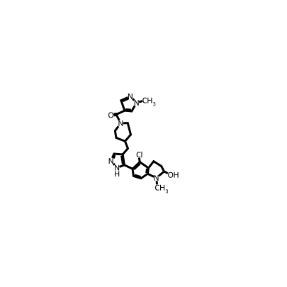 CN1c2ccc(-c3[nH]ncc3CC3CCN(C(=O)c4cnn(C)c4)CC3)c(Cl)c2CCC1O